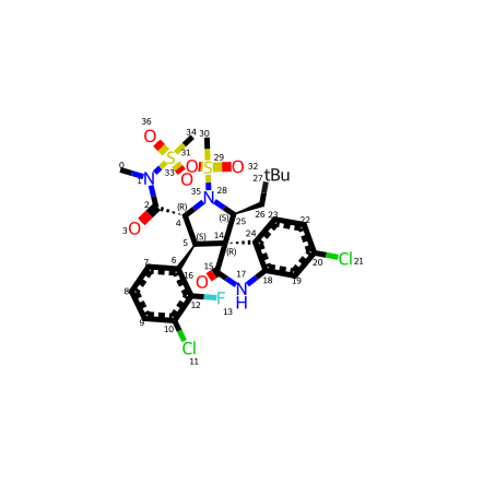 CN(C(=O)[C@H]1[C@H](c2cccc(Cl)c2F)[C@]2(C(=O)Nc3cc(Cl)ccc32)[C@H](CC(C)(C)C)N1S(C)(=O)=O)S(C)(=O)=O